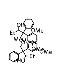 CCC(O)C(COCC(c1ccccc1)(c1cc(OC)ccc1OC)C(O)CC)(c1ccccc1)c1cc(OC)ccc1OC